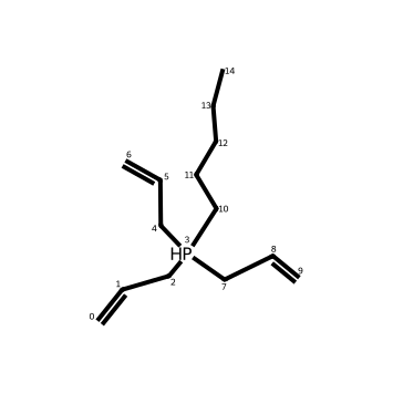 C=CC[PH](CC=C)(CC=C)CCCCC